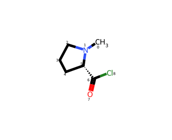 CN1CCC[C@H]1C(=O)Cl